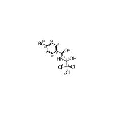 O=C(NC(O)C(Cl)(Cl)Cl)c1ccc(Br)cc1